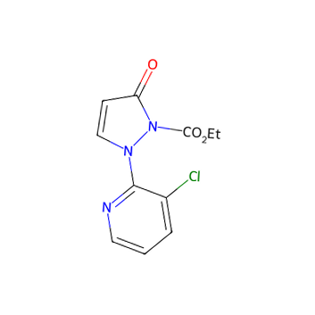 CCOC(=O)n1c(=O)ccn1-c1ncccc1Cl